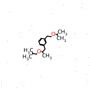 CC(C)COC(C)Cc1cccc(CCOC(C)C)c1